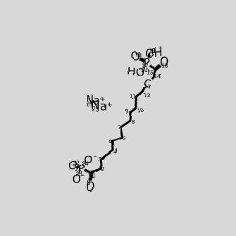 O=C(CCCCCCCCCCCCCC(=O)P(=O)(O)O)P(=O)([O-])[O-].[Na+].[Na+]